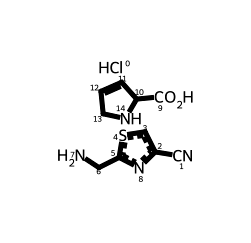 Cl.N#Cc1csc(CN)n1.O=C(O)C1C=CCN1